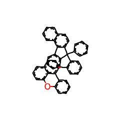 c1ccc(C2(c3ccccc3-c3ccc4cccc5c4c3-c3ccccc3O5)c3ccccc3-c3c2ccc2ccccc32)cc1